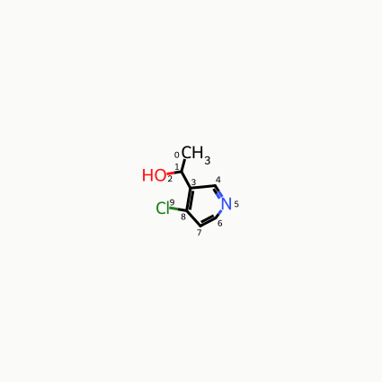 CC(O)c1cnccc1Cl